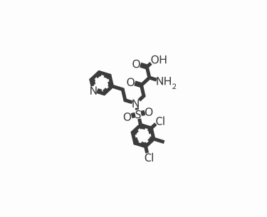 Cc1c(Cl)ccc(S(=O)(=O)N(CCc2cccnc2)CC(=O)C(N)C(=O)O)c1Cl